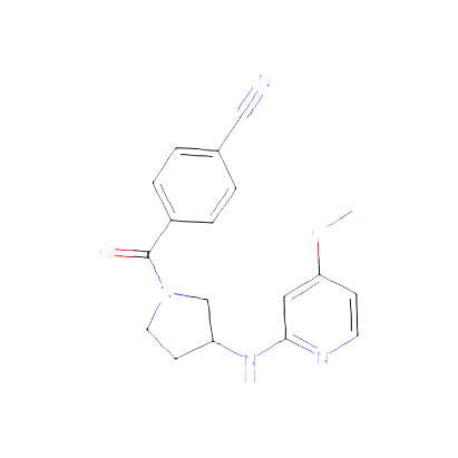 COc1ccnc(NC2CCN(C(=O)c3ccc(C#N)cc3)C2)c1